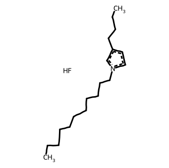 CCCCCCCCCCCn1ccc(CCCC)c1.F